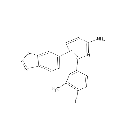 Cc1cc(-c2nc(N)ccc2-c2ccc3ncsc3c2)ccc1F